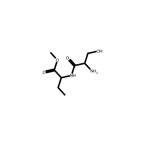 CCC(NC(=O)C(N)CO)C(=O)OC